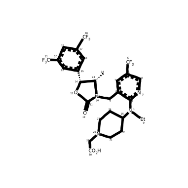 CCN(c1ncc(C(F)(F)F)cc1CN1C(=O)O[C@H](c2cc(C(F)(F)F)cc(C(F)(F)F)c2)[C@@H]1C)C1CCN(CC(=O)O)CC1